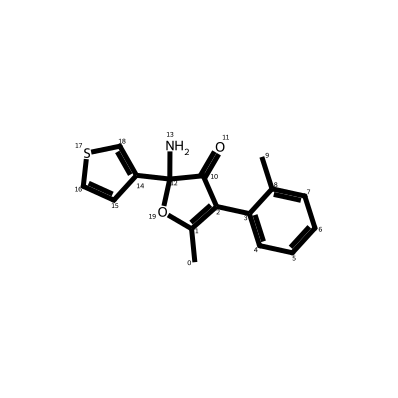 CC1=C(c2ccccc2C)C(=O)C(N)(c2ccsc2)O1